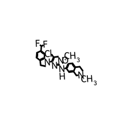 COc1cc2c(cc1Nc1ncc(Cl)c(N3CCc4ccc(C(F)F)cc43)n1)CN(C)CC2